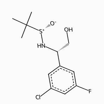 CC(C)(C)[S@+]([O-])N[C@H](CO)c1cc(F)cc(Cl)c1